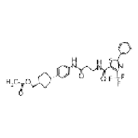 CC(=O)OC[C@H]1CC[C@H](c2ccc(NC(=O)CCNC(=O)c3sc(-c4ccccc4)nc3C(F)(F)F)cc2)CC1